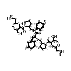 CNCC(=O)NC(C(=O)N1CCCC1Cn1c(-c2nc3cc(F)ccc3n2CC2CCCN2C(=O)C(NC(=O)CNC)C(C)O)nc2cc(F)ccc21)C(C)O